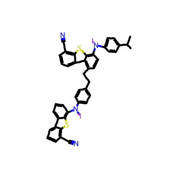 CC(C)c1ccc(N(I)c2ccc(CCc3ccc(N(I)c4cccc5c4sc4c(C#N)cccc45)cc3)c3c2sc2c(C#N)cccc23)cc1